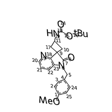 COc1ccc(CN2C(=O)C3(CC(NC(=O)OC(C)(C)C)C3)c3ncccc32)cc1